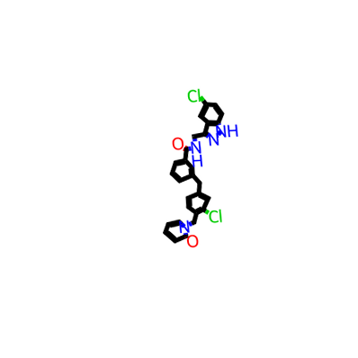 O=C(NCc1n[nH]c2ccc(Cl)cc12)c1cccc(Cc2ccc(Cn3ccccc3=O)c(Cl)c2)c1